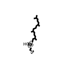 CC(C)CCCC(C)CCCC(C)CCCC(C)CCOP(=O)(O)OCCN(C)C